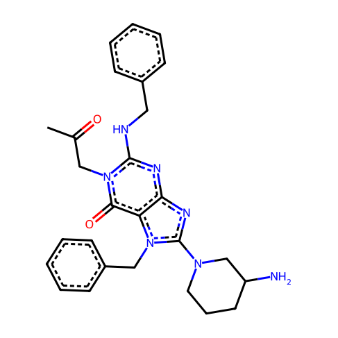 CC(=O)Cn1c(NCc2ccccc2)nc2nc(N3CCCC(N)C3)n(Cc3ccccc3)c2c1=O